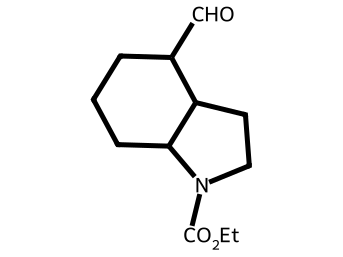 CCOC(=O)N1CCC2C(C=O)CCCC21